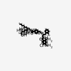 CCCCCCN(CCNC(=O)c1ccc(CNC[C@@H](CNC(=O)c2nc(Cl)c(N)nc2N)Cc2ccccc2C)cc1)C(O)[C@@H](O)[C@@H](O)[C@H](O)[C@@H](C)O